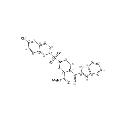 CNC(=O)C1CN(S(=O)(=O)c2ccc3cc(Cl)ccc3c2)CCN1C(=O)c1nc2cnccc2s1